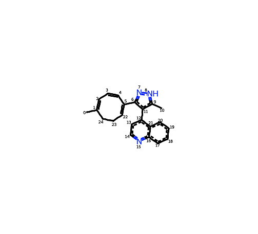 C/C1=C/C=C\C(c2n[nH]c(C)c2-c2ccnc3ccccc23)=C/CC1